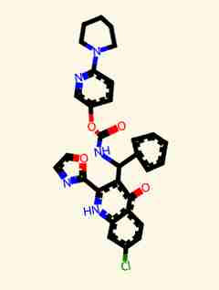 O=C(NC(c1ccccc1)c1c(-c2ncco2)[nH]c2cc(Cl)ccc2c1=O)Oc1ccc(N2CCCCC2)nc1